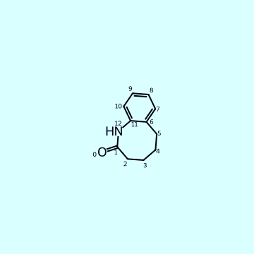 O=C1CCCCc2ccccc2N1